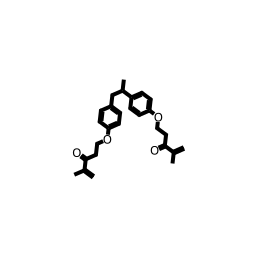 C=C(C)C(=O)CCOc1ccc(CC(C)c2ccc(OCCC(=O)C(=C)C)cc2)cc1